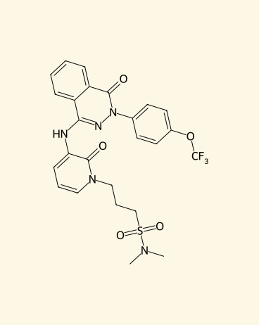 CN(C)S(=O)(=O)CCCn1cccc(Nc2nn(-c3ccc(OC(F)(F)F)cc3)c(=O)c3ccccc23)c1=O